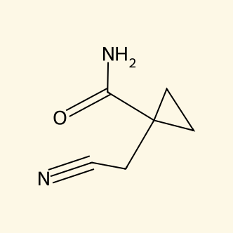 N#CCC1(C(N)=O)CC1